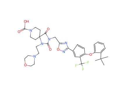 CC(C)(C)c1ccccc1Oc1ccc(-c2noc(CN3C(=O)N(CCN4CCOCC4)C4(CCN(C(=O)O)CC4)C3=O)n2)cc1C(F)(F)F